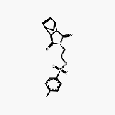 Cc1ccc(S(=O)(=O)OCCN2C(=O)C3C4C=CC(C4)C3C2=O)cc1